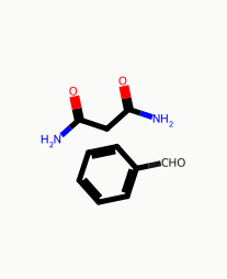 NC(=O)CC(N)=O.O=Cc1ccccc1